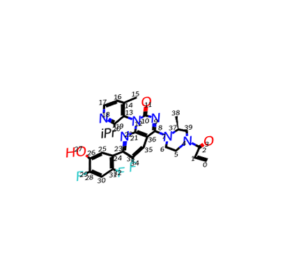 C=CC(=O)N1CCN(c2nc(=O)n(-c3c(C)ccnc3C(C)C)c3nc(-c4cc(O)c(F)cc4F)c(F)cc23)[C@@H](C)C1